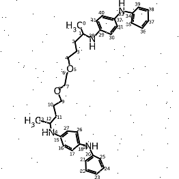 CC(CCCOCCOCCCC(C)Nc1ccc(Nc2ccccc2)cc1)Nc1ccc(Nc2ccccc2)cc1